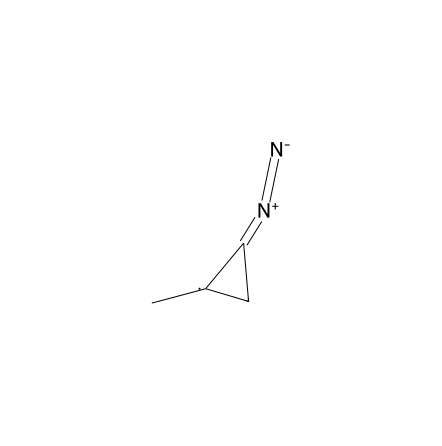 C[C]1CC1=[N+]=[N-]